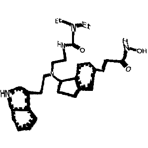 CCN(CC)C(=O)NCCN(CCc1c[nH]c2ccccc12)C1CCc2cc(/C=C/C(=O)NO)ccc21